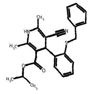 CC1=C(C#N)C(c2ccccc2SCc2ccccc2)C(C(=O)OC(C)C)=C(C)N1